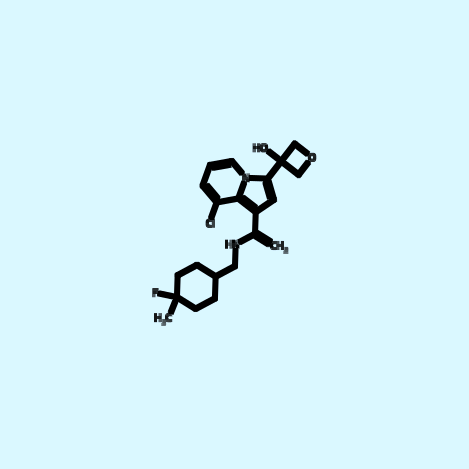 C=C(NCC1CCC(C)(F)CC1)c1cc(C2(O)COC2)n2cccc(Cl)c12